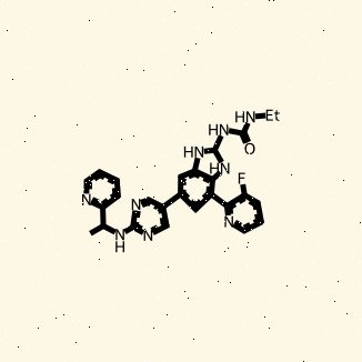 CCNC(=O)NC1Nc2cc(-c3cnc(NC(C)c4ccccn4)nc3)cc(-c3ncccc3F)c2N1